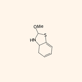 COC1NC2CC=CC=C2S1